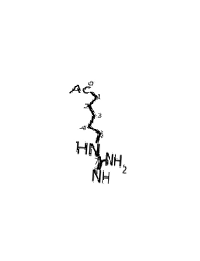 CC(=O)CCCCCNC(=N)N